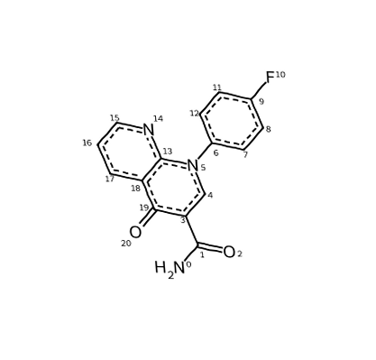 NC(=O)c1cn(-c2ccc(F)cc2)c2ncccc2c1=O